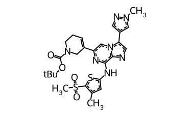 Cc1cc(Nc2nc(C3=CCCN(C(=O)OC(C)(C)C)C3)cn3c(-c4cnn(C)c4)cnc23)sc1S(C)(=O)=O